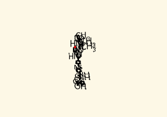 COC(=O)N[C@H](C(=O)N1CCC[C@H]1c1ncc(-c2ccc(-c3nc4ccc(NC(=O)NC(=O)[C@@H]5CCCN5C(=O)O)cc4s3)cc2)[nH]1)C(C)C